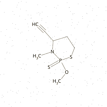 C#CC1CCSP(=S)(OC)N1C